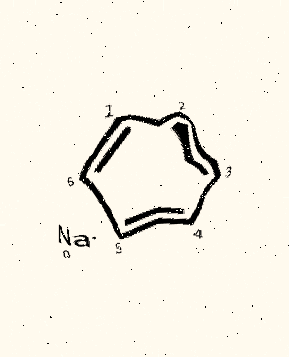 [Na].c1ccccc1